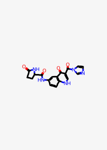 O=C1CCC(C(=O)Nc2ccc3[nH]cc(C(=O)n4ccnc4)c(=O)c3c2)N1